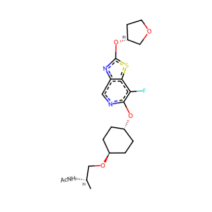 CC(=O)N[C@@H](C)CO[C@H]1CC[C@H](Oc2ncc3nc(O[C@@H]4CCOC4)sc3c2F)CC1